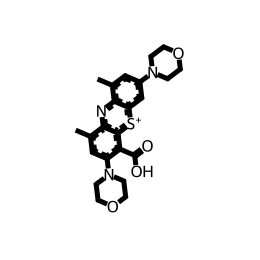 Cc1cc(N2CCOCC2)cc2[s+]c3c(C(=O)O)c(N4CCOCC4)cc(C)c3nc12